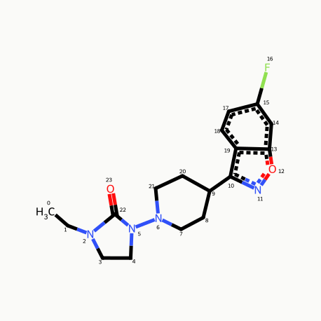 CCN1CCN(N2CCC(c3noc4cc(F)ccc34)CC2)C1=O